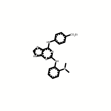 CCOC(=O)c1ccc(Nc2nc(Nc3ccccc3N(C)C)nc3[nH]cnc23)cc1